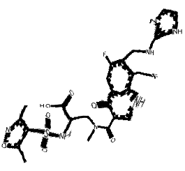 Cc1noc(C)c1S(=O)(=O)NC(CN(C)C(=O)c1c[nH]c2c(F)c(CNc3ncc[nH]3)c(F)cc2c1=O)C(=O)O